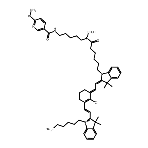 CC1(C)C(/C=C/C2=C(Cl)C(=C/C=C3/N(CCCCCC(=O)N(CCCCCNC(=O)c4ccc(NN)nc4)C(=O)O)c4ccccc4C3(C)C)/CCC2)=[N+](CCCCCC(=O)O)c2ccccc21